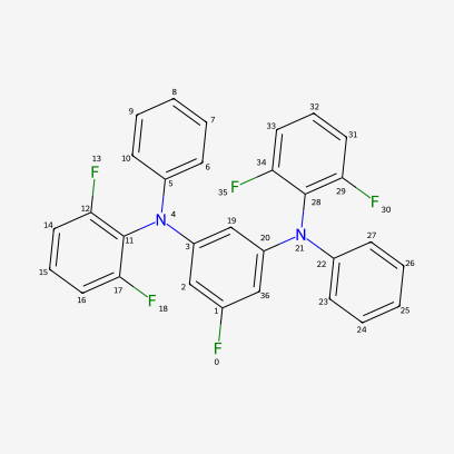 Fc1cc(N(c2ccccc2)c2c(F)cccc2F)cc(N(c2ccccc2)c2c(F)cccc2F)c1